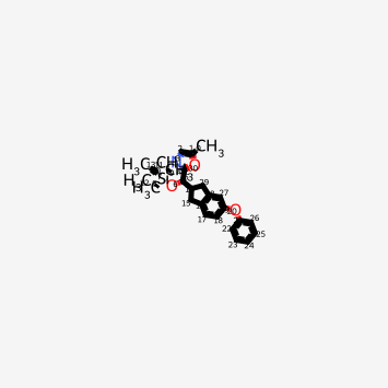 Cc1cnc(C(O[Si](C)(C)C(C)(C)C)C2Cc3ccc(Oc4ccccc4)cc3C2)o1